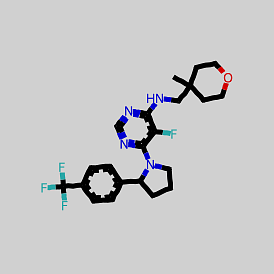 CC1(CNc2ncnc(N3CCCC3c3ccc(C(F)(F)F)cc3)c2F)CCOCC1